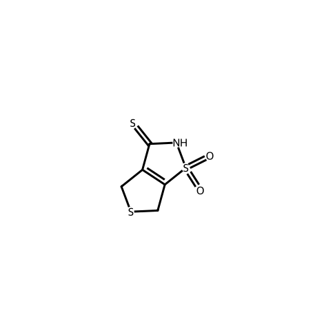 O=S1(=O)NC(=S)C2=C1CSC2